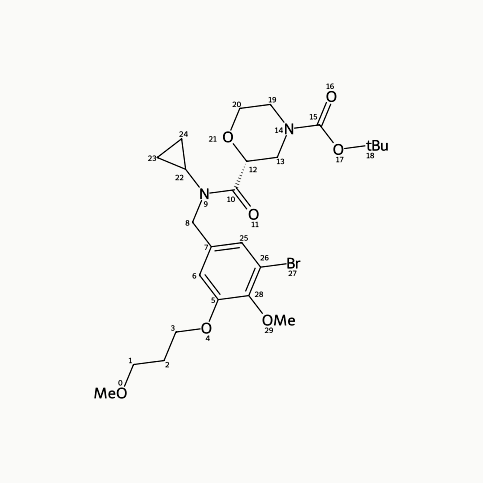 COCCCOc1cc(CN(C(=O)[C@H]2CN(C(=O)OC(C)(C)C)CCO2)C2CC2)cc(Br)c1OC